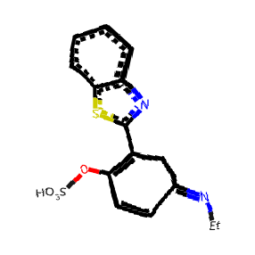 CCN=C1C=CC(OS(=O)(=O)O)=C(c2nc3ccccc3s2)C1